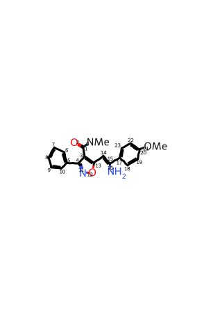 CNC(=O)c1c(-c2ccccc2)noc1C=C(N)c1ccc(OC)cc1